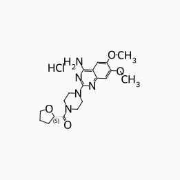 COc1cc2nc(N3CCN(C(=O)[C@@H]4CCCO4)CC3)nc(N)c2cc1OC.Cl